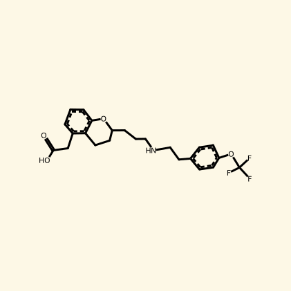 O=C(O)Cc1cccc2c1CCC(CCCNCCc1ccc(OC(F)(F)F)cc1)O2